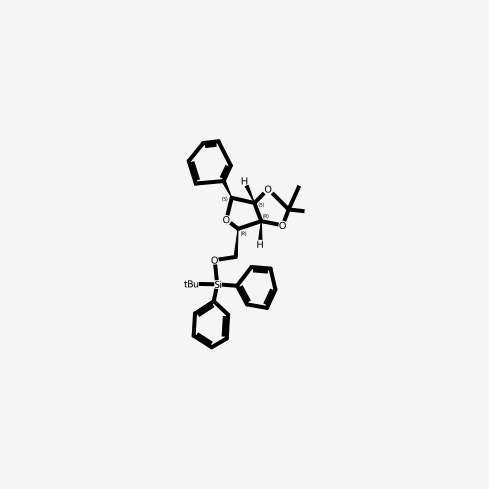 CC1(C)O[C@@H]2[C@H](O1)[C@@H](CO[Si](c1ccccc1)(c1ccccc1)C(C)(C)C)O[C@H]2c1ccccc1